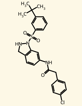 CC(C)(C)c1cccc(S(=O)(=O)N2NCc3ccc(NC(=O)Cc4ccc(Cl)cc4)cc32)c1